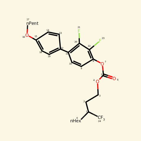 CCCCCCC(CCOC(=O)Oc1ccc(-c2ccc(OCCCCC)cc2)c(F)c1F)C(F)(F)F